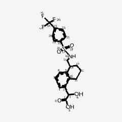 O=C(O)C(O)c1cccc2c1CCCC2CNS(=O)(=O)c1ccc(C(F)(F)F)cc1